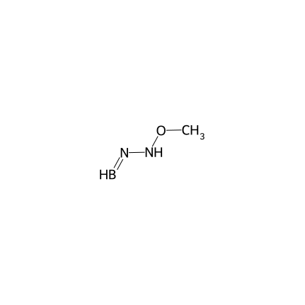 B=NNOC